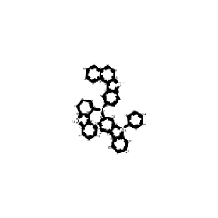 C1=C(N(c2ccc3oc4ccc5ccccc5c4c3c2)c2ccc3c4ccccc4n(-c4ccccc4)c3c2)c2c(oc3ccccc23)CC1